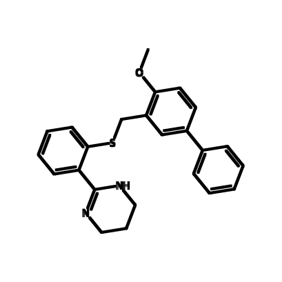 COc1ccc(-c2ccccc2)cc1CSc1ccccc1C1=NCCCN1